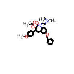 COc1ccc(C2Cc3cc(OCc4ccccc4)ccc3N(CCN(C)C)C(=O)C2OC(C)=O)cc1